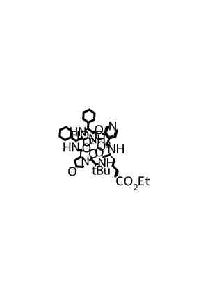 CCOC(=O)/C=C/CC[C@H](NC(=O)c1ccncc1C(=O)O)C(=O)N[C@H](C(=O)N1CC(=O)C[C@H]1C(=O)N[C@H](C(=O)N[C@H](C(N)=O)C1CCCCC1)C1CCCCC1)C(C)(C)C